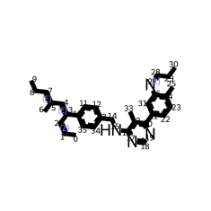 C\C=C/C(=C\C(C)=C\CC)c1ccc(CNc2ncnc(-c3ccc(C)c(/N=C\CC)c3)c2C)cc1